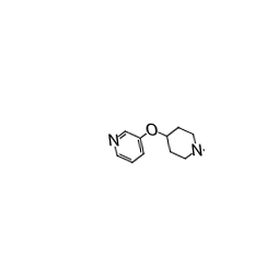 c1cncc(OC2CC[N]CC2)c1